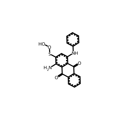 Nc1c(SOO)cc(Nc2ccccc2)c2c1C(=O)c1ccccc1C2=O